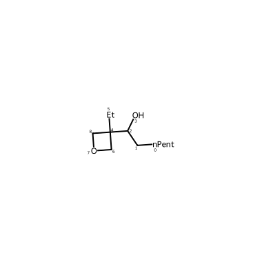 CCCCCCC(O)C1(CC)COC1